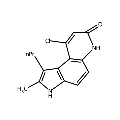 CCCc1c(C)[nH]c2ccc3[nH]c(=O)cc(Cl)c3c12